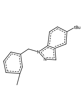 Cc1cccc(Cn2ncc3cc(C(C)(C)C)ccc32)c1